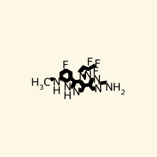 CCNc1cc(F)cc2c1[nH]c1ncc(-c3cnc(CN)nc3)c(-n3ccc(C(F)(F)F)n3)c12